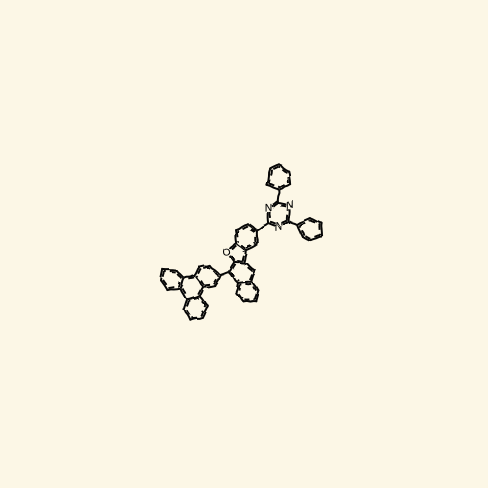 c1ccc(-c2nc(-c3ccccc3)nc(-c3ccc4oc5c(-c6ccc7c8ccccc8c8ccccc8c7c6)c6ccccc6cc5c4c3)n2)cc1